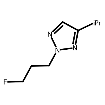 CC(C)c1cnn(CCCF)n1